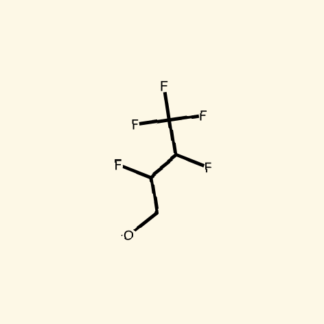 [O]CC(F)C(F)C(F)(F)F